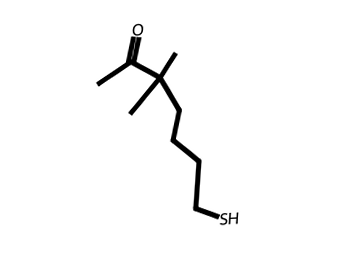 CC(=O)C(C)(C)CCCCS